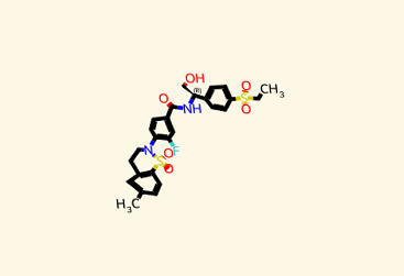 CCS(=O)(=O)c1ccc([C@H](CO)NC(=O)c2ccc(N3CCc4cc(C)ccc4S3(=O)=O)c(F)c2)cc1